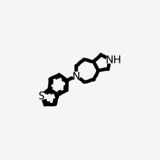 c1cc2cc(N3CCC4CNCC4CC3)ccc2s1